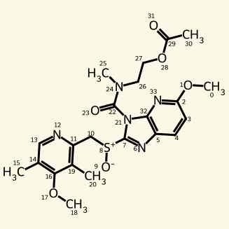 COc1ccc2nc([S+]([O-])Cc3ncc(C)c(OC)c3C)n(C(=O)N(C)CCOC(C)=O)c2n1